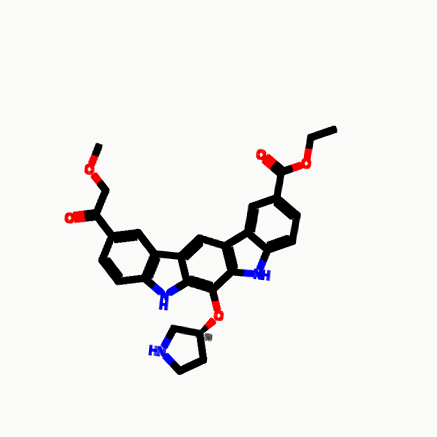 CCOC(=O)c1ccc2[nH]c3c(O[C@H]4CCNC4)c4[nH]c5ccc(C(=O)COC)cc5c4cc3c2c1